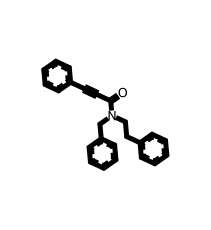 O=C(C#Cc1ccccc1)N(CCc1ccccc1)Cc1ccccc1